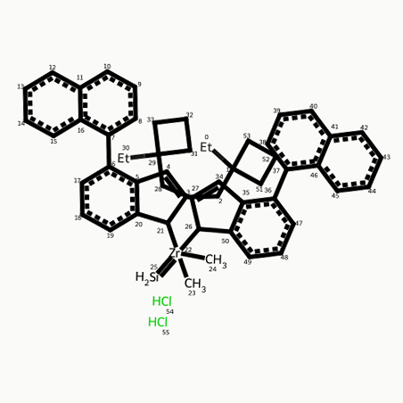 CCC1(CC2=Cc3c(-c4cccc5ccccc45)cccc3[CH]2[Zr]([CH3])([CH3])(=[SiH2])[CH]2C(CC3(CC)CCC3)=Cc3c(-c4cccc5ccccc45)cccc32)CCC1.Cl.Cl